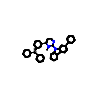 CN1C(c2cccc([SiH](c3ccccc3)c3ccccc3)c2)=CC=NC1n1c2ccccc2c2ccc(-c3ccccc3)cc21